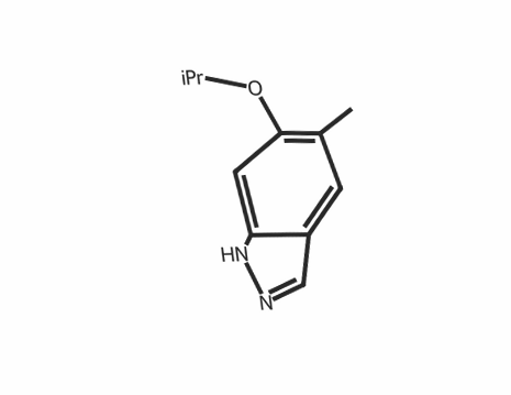 Cc1cc2cn[nH]c2cc1OC(C)C